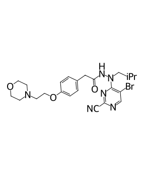 CC(C)CN(NC(=O)Cc1ccc(OCCN2CCOCC2)cc1)c1nc(C#N)ncc1Br